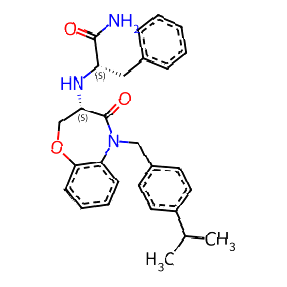 CC(C)c1ccc(CN2C(=O)[C@@H](N[C@@H](Cc3ccccc3)C(N)=O)COc3ccccc32)cc1